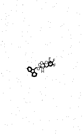 O=C(N[C@H](Cc1cc(F)c(F)c(F)c1)C(=O)O)OCC1c2ccccc2-c2ccccc21